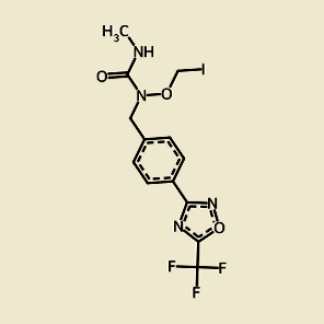 CNC(=O)N(Cc1ccc(-c2noc(C(F)(F)F)n2)cc1)OCI